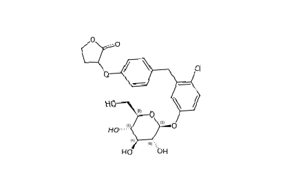 O=C1OCCC1Oc1ccc(Cc2cc(O[C@@H]3O[C@H](CO)[C@@H](O)[C@H](O)[C@H]3O)ccc2Cl)cc1